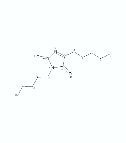 CCCCCC1=NC(=O)N(CCCCC)C1=O